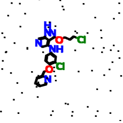 ClCCCOc1n[nH]c2cncc(Nc3ccc(OCc4ccccn4)c(Cl)c3)c12